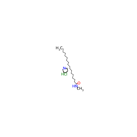 CCCCCCCCCCCCCCCCCC(=O)NC.Cl.c1ccncc1